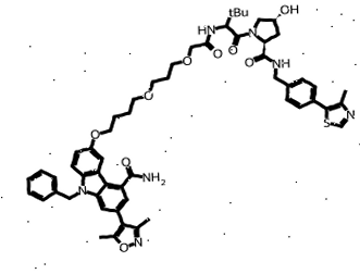 Cc1ncsc1-c1ccc(CNC(=O)[C@@H]2C[C@@H](O)CN2C(=O)C(NC(=O)COCCCOCCCCOc2ccc3c(c2)c2c(C(N)=O)cc(-c4c(C)noc4C)cc2n3Cc2ccccc2)C(C)(C)C)cc1